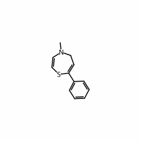 CN1C=CSC(c2ccccc2)=CC1